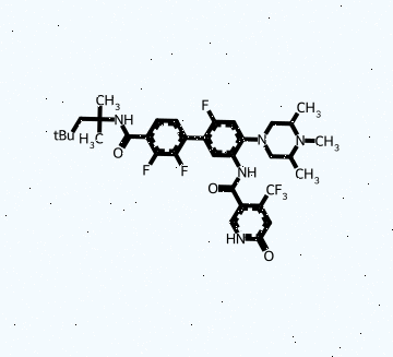 CC1CN(c2cc(F)c(-c3ccc(C(=O)NC(C)(C)CC(C)(C)C)c(F)c3F)cc2NC(=O)c2c[nH]c(=O)cc2C(F)(F)F)CC(C)N1C